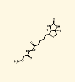 NOCC(=O)NNC(=O)CCCC[C@@H]1SC[C@@H]2NC(=O)N[C@@H]21